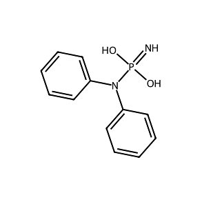 N=P(O)(O)N(c1ccccc1)c1ccccc1